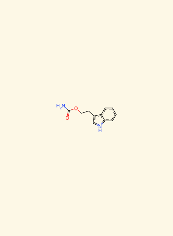 NC(=O)OCCc1c[nH]c2ccccc12